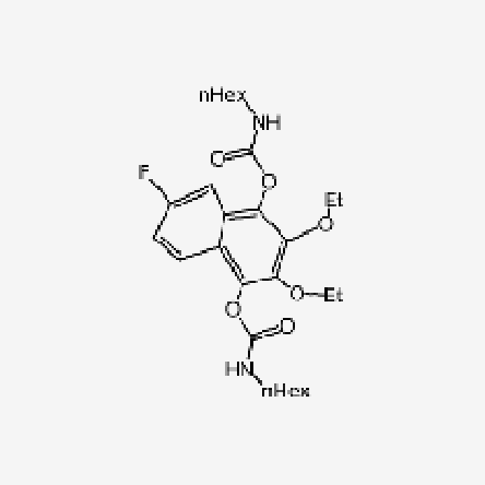 CCCCCCNC(=O)Oc1c(OCC)c(OCC)c(OC(=O)NCCCCCC)c2cc(F)ccc12